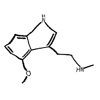 CNCCc1c[nH]c2cccc(OC)c12